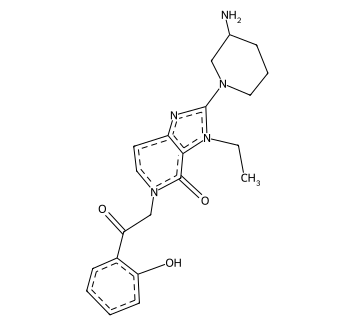 CCn1c(N2CCCC(N)C2)nc2ccn(CC(=O)c3ccccc3O)c(=O)c21